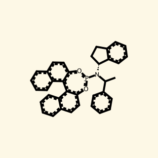 CC(c1ccccc1)N([C@@H]1CCc2ccccc21)p1oc2ccc3ccccc3c2c2c(ccc3ccccc32)o1